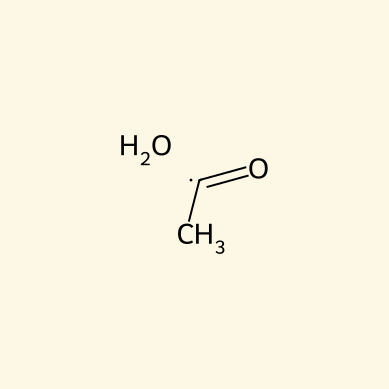 C[C]=O.O